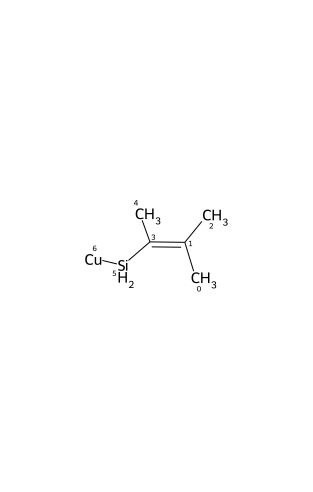 CC(C)=C(C)[SiH2][Cu]